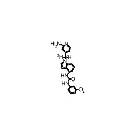 [2H]C([2H])(c1ccnc(N)c1)n1ccc2c(NC(=O)Nc3cccc(OC)c3)cccc21